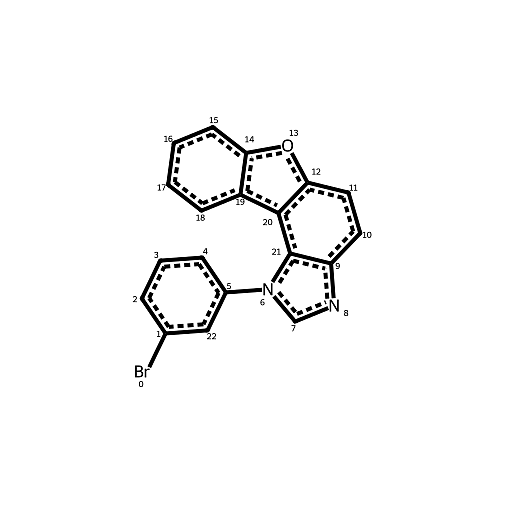 Brc1cccc(-n2cnc3ccc4oc5ccccc5c4c32)c1